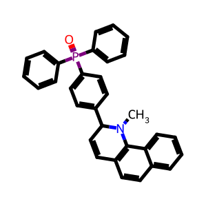 CN1c2c(ccc3ccccc23)C=CC1c1ccc(P(=O)(c2ccccc2)c2ccccc2)cc1